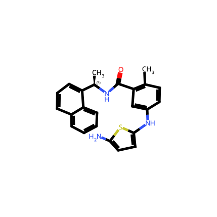 Cc1ccc(Nc2ccc(N)s2)cc1C(=O)N[C@H](C)c1cccc2ccccc12